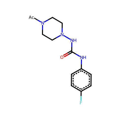 CC(=O)N1CCN(NC(=O)Nc2ccc(F)cc2)CC1